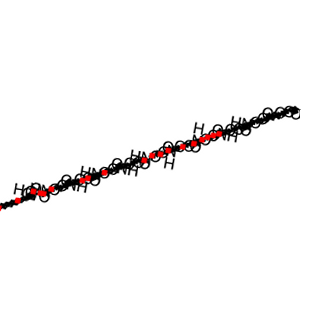 CC(=O)COCCOCCCC(=O)COCCOCCNC(=O)COCCOCCNC(=O)COCCOCCNC(=O)COCCOCCNC(=O)COCCOCCNC(=O)COCCOCCNC(=O)COCCOCCNC(=O)COCCOCCNC(=O)COCCOCCNC(=O)CC[C@H](CC(=O)CCCCCCCCCCCCCCC(=O)O)C(=O)O